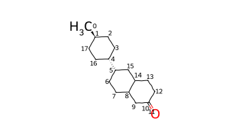 C[C@H]1CC[C@H](C2CCC3CC(=O)CCC3C2)CC1